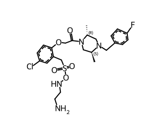 C[C@@H]1CN(Cc2ccc(F)cc2)[C@@H](C)CN1C(=O)COc1ccc(Cl)cc1CS(=O)(=O)ONCCN